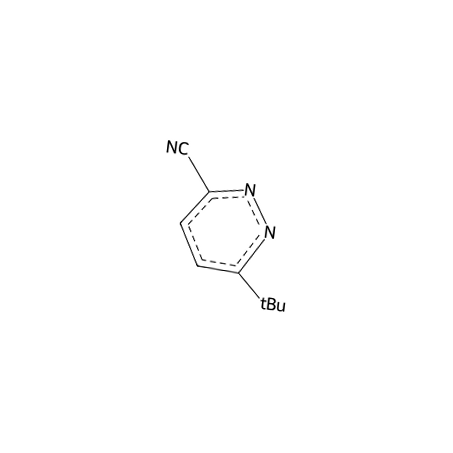 CC(C)(C)c1ccc(C#N)nn1